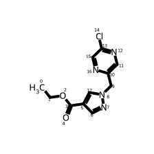 CCOC(=O)c1cnn(Cc2cnc(Cl)cn2)c1